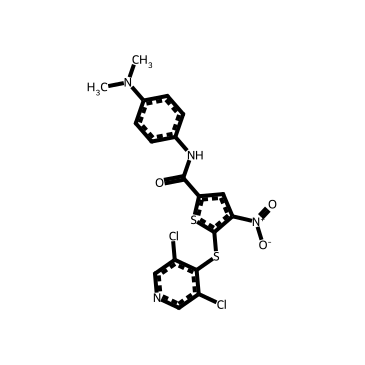 CN(C)c1ccc(NC(=O)c2cc([N+](=O)[O-])c(Sc3c(Cl)cncc3Cl)s2)cc1